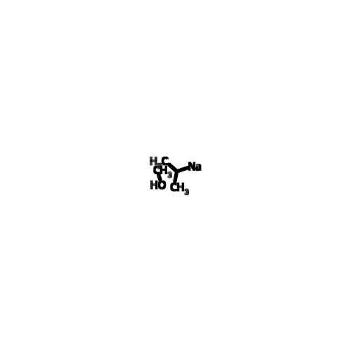 CO.C[CH](C)[Na]